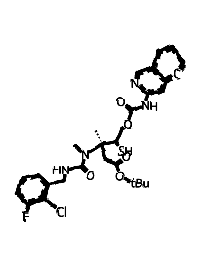 CN(C(=O)NCc1cccc(F)c1Cl)[C@](C)(CC(=O)OC(C)(C)C)C(S)COC(=O)Nc1cc2ccccc2cn1